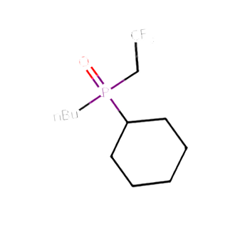 CCCCP(=O)(CC(F)(F)F)C1CCCCC1